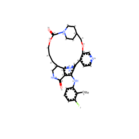 COc1c(F)cccc1Nc1c2[nH]c3c1C(=O)NCC3CCCOC(=O)N1CCC(CC1)COc1cnccc1-2